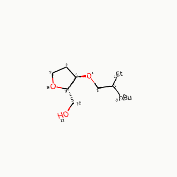 CCCCC(CC)CO[C@@H]1CCO[C@H]1CO